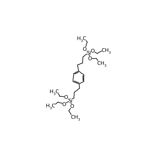 CCO[Si](CCCc1ccc(CCC[Si](OCC)(OCC)OCC)cc1)(OCC)OCC